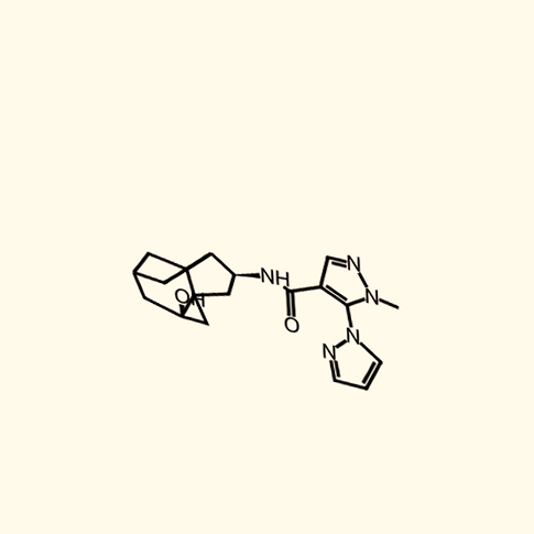 Cn1ncc(C(=O)N[C@H]2CC34C[C@]3(O)CC3CC2C4C3)c1-n1cccn1